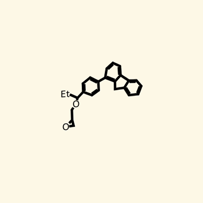 CCC(OCC1CO1)c1ccc(-c2cccc3c2Cc2ccccc2-3)cc1